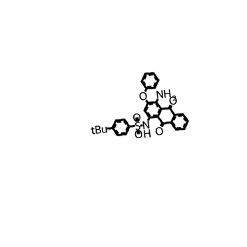 CC(C)(C)c1ccc(S(=O)(=O)Nc2cc(Oc3ccccc3)c(N)c3c2C(=O)c2ccccc2C3=O)cc1